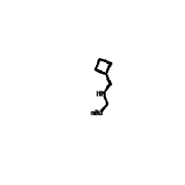 CCCCCNCC1CCC1